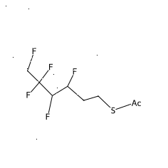 CC(=O)SCCC(F)C(F)C(F)(F)CF